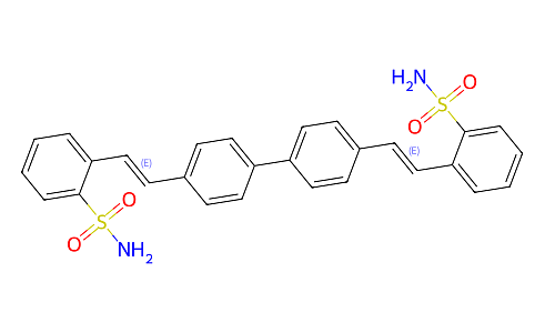 NS(=O)(=O)c1ccccc1/C=C/c1ccc(-c2ccc(/C=C/c3ccccc3S(N)(=O)=O)cc2)cc1